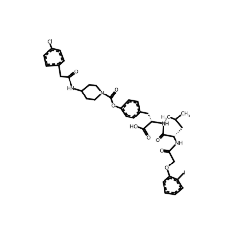 CC(C)C[C@H](NC(=O)COc1ccccc1I)C(=O)N[C@@H](Cc1ccc(OC(=O)N2CCC(NC(=O)Cc3ccc(Cl)cc3)CC2)cc1)C(=O)O